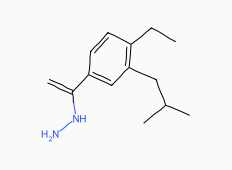 C=C(NN)c1ccc(CC)c(CC(C)C)c1